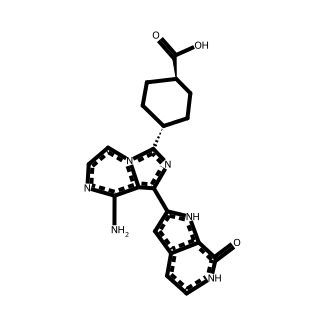 Nc1nccn2c1c(-c1cc3cc[nH]c(=O)c3[nH]1)nc2[C@H]1CC[C@H](C(=O)O)CC1